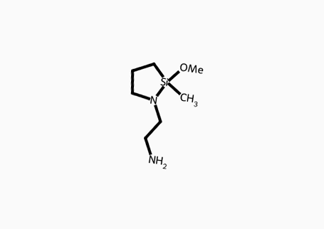 CO[Si]1(C)CCCN1CCN